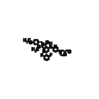 COc1ccc(CN2Cc3nc(-c4c(F)cccc4F)cc(Nc4ccc(N5CCOC(C=O)C5)cn4)c3C2=O)c(OC)c1